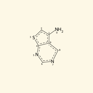 Nc1csc2ncncc12